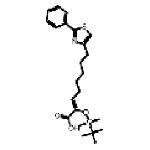 CC(C)(C)[Si](C)(C)O/C(=C\CCCCCc1csc(-c2ccccc2)n1)C(=O)O